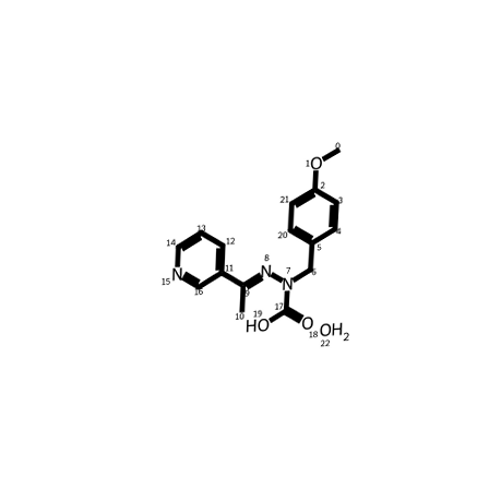 COc1ccc(CN(/N=C(\C)c2cccnc2)C(=O)O)cc1.O